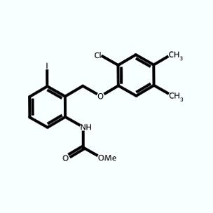 COC(=O)Nc1cccc(I)c1COc1cc(C)c(C)cc1Cl